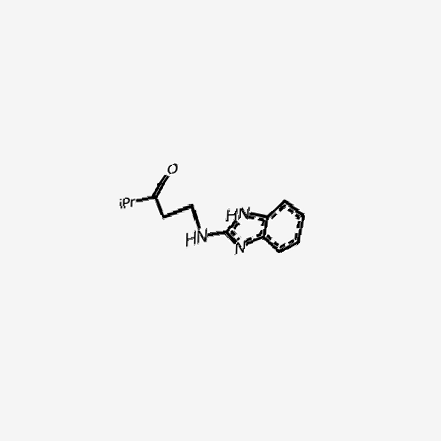 CC(C)C(=O)CCNc1nc2ccccc2[nH]1